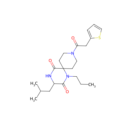 CCCN1C(=O)C(CC(C)C)NC(=O)C12CCN(C(=O)Cc1cccs1)CC2